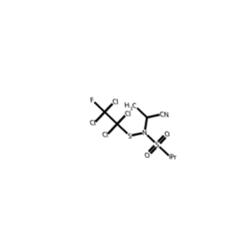 CC(C#N)N(SC(Cl)(Cl)C(F)(Cl)Cl)S(=O)(=O)C(C)C